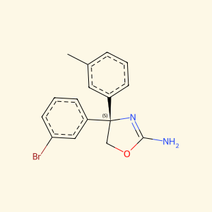 Cc1cccc([C@]2(c3cccc(Br)c3)COC(N)=N2)c1